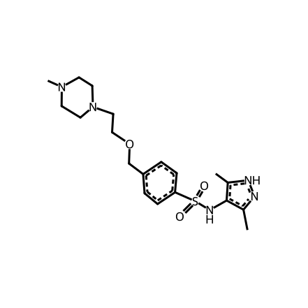 Cc1n[nH]c(C)c1NS(=O)(=O)c1ccc(COCCN2CCN(C)CC2)cc1